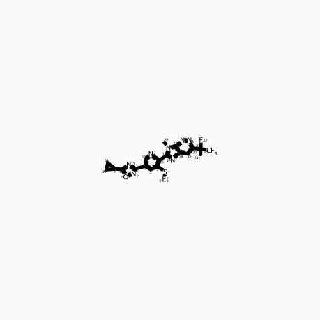 CCSc1cc(-c2noc(C3CC3)n2)cnc1-c1nc2cc(C(F)(F)C(F)(F)F)nnc2n1C